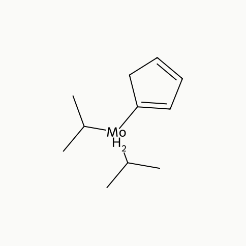 C[CH](C)[MoH2]([C]1=CC=CC1)[CH](C)C